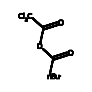 CCC[CH]C(=O)OC(=O)C(Cl)(Cl)Cl